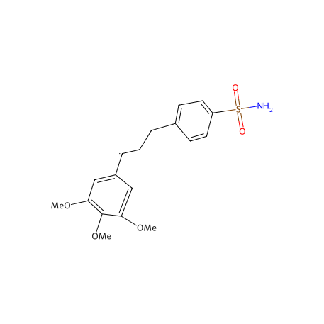 COc1cc([CH]CCc2ccc(S(N)(=O)=O)cc2)cc(OC)c1OC